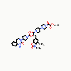 CCCCOC(=O)C(=O)N1CCN(C2CCN(C(=O)[C@@H](Cc3cc(C)c4c(c3)oc(=O)n4C)OC(=O)N3CCC(N4CCc5ccccc5NC4=O)CC3)CC2)CC1